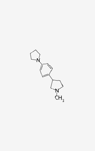 CN1CCC(c2ccc(N3CCCC3)cc2)C1